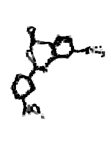 O=c1oc(-c2cccc([N+](=O)[O-])c2)nc2cc([N+](=O)[O-])ccc12